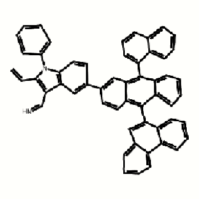 C=Cc1c(C=N)c2cc(-c3ccc4c(-c5cc6ccccc6c6ccccc56)c5ccccc5c(-c5cccc6ccccc56)c4c3)ccc2n1-c1ccccc1